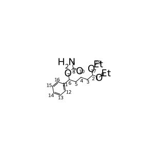 CCOC(CCCC(OC(N)=O)c1ccccc1)OCC